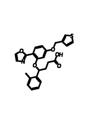 Cc1ccccc1C(CCC(=O)O)Oc1cc(OCc2ccsc2)ccc1-c1ncco1